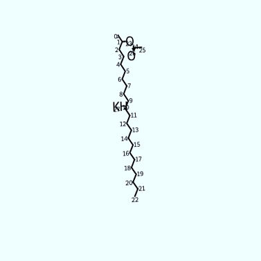 [CH2]C(CCCCCCCCCCCCCCCCCCCCC)OC(C)=O.[KH]